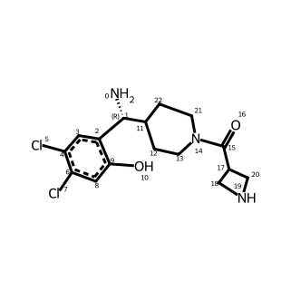 N[C@@H](c1cc(Cl)c(Cl)cc1O)C1CCN(C(=O)C2CNC2)CC1